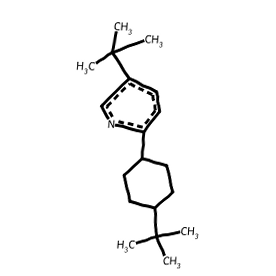 CC(C)(C)c1ccc(C2CCC(C(C)(C)C)CC2)nc1